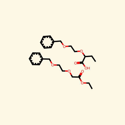 CCC(OCCOCc1ccccc1)C(=O)O.CCOC(=O)COCCOCc1ccccc1